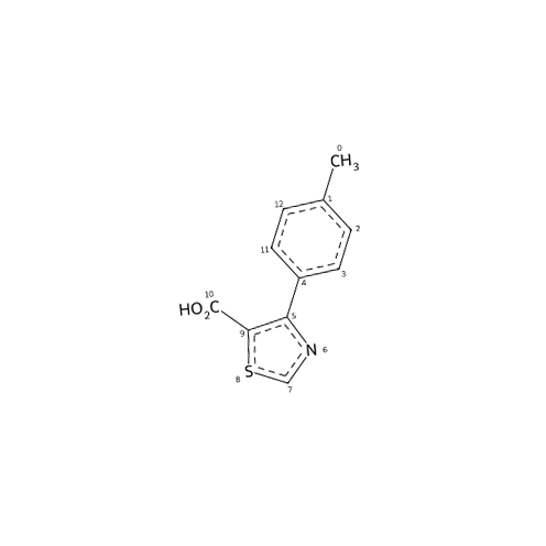 Cc1ccc(-c2ncsc2C(=O)O)cc1